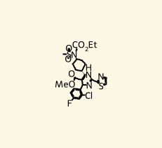 CCOC(=O)CN([C@H]1CC[C@H](C2=C(C(=O)OC)C(c3ccc(F)cc3Cl)N=C(c3nccs3)N2)CC1)S(C)(=O)=O